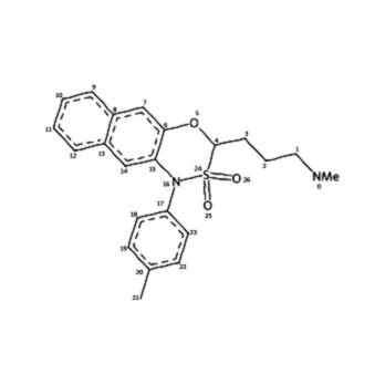 CNCCCC1Oc2cc3ccccc3cc2N(c2ccc(C)cc2)S1(=O)=O